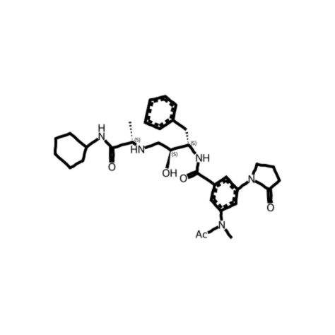 CC(=O)N(C)c1cc(C(=O)N[C@@H](Cc2ccccc2)[C@@H](O)CN[C@@H](C)C(=O)NC2CCCCC2)cc(N2CCCC2=O)c1